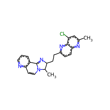 Cc1cc(Cl)c2nc(CCC3N=C4c5cccnc5C=CN4C3C)ccc2n1